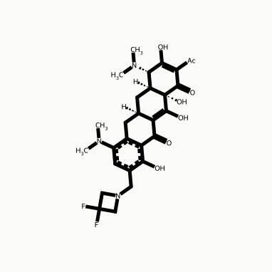 CC(=O)C1=C(O)[C@@H](N(C)C)[C@@H]2C[C@@H]3Cc4c(N(C)C)cc(CN5CC(F)(F)C5)c(O)c4C(=O)C3=C(O)[C@]2(O)C1=O